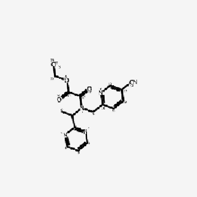 CC(c1ncccn1)N(Cc1ccc(C#N)cn1)C(=O)C(=O)OCC(F)(F)F